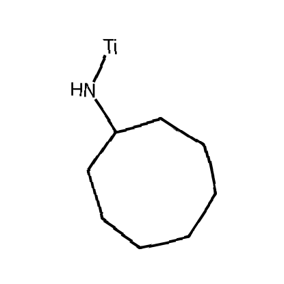 [Ti][NH]C1CCCCCCC1